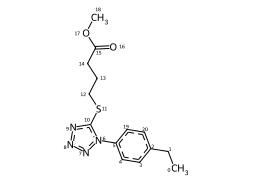 CCc1ccc(-n2nnnc2SCCCC(=O)OC)cc1